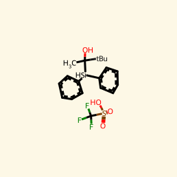 CC(C)(C)C(C)(O)[SiH](c1ccccc1)c1ccccc1.O=S(=O)(O)C(F)(F)F